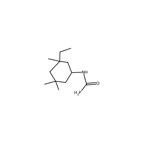 CCC1(C)CC(NC(=O)P)CC(C)(C)C1